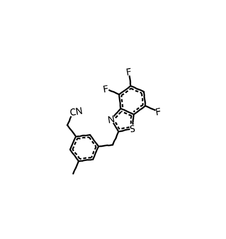 Cc1cc(CC#N)cc(Cc2nc3c(F)c(F)cc(F)c3s2)c1